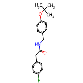 CC(C)(C)Oc1ccc(CNC(=O)Cc2ccc(F)cc2)cc1